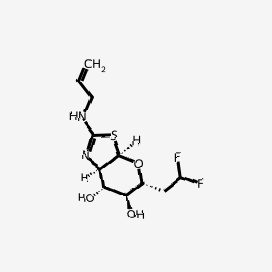 C=CCNC1=N[C@@H]2[C@@H](O)[C@H](O)[C@@H](CC(F)F)O[C@@H]2S1